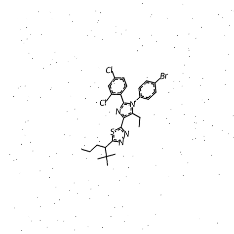 CCCC(c1nnc(-c2nc(-c3ccc(Cl)cc3Cl)n(-c3ccc(Br)cc3)c2CC)s1)C(C)(C)C